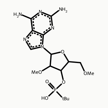 COCC1OC(n2cnc3c(N)nc(N)nc32)C(OC)C1OP(=O)(O)C(C)(C)C